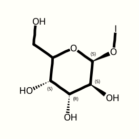 OCC1O[C@@H](OI)[C@@H](O)[C@H](O)[C@@H]1O